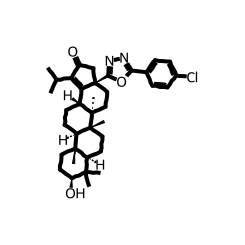 CC(C)C1=C2[C@H]3CC[C@@H]4[C@@]5(C)CC[C@H](O)C(C)(C)[C@@H]5CC[C@@]4(C)[C@]3(C)CC[C@@]2(c2nnc(-c3ccc(Cl)cc3)o2)CC1=O